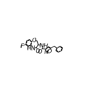 O=C(NC1COc2ccc(F)cc2NC1=O)c1cc(Cc2ccccc2)on1